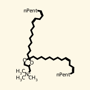 CCCCC/C=C\C/C=C\CCCCCCCCC1(CCCCCCCC/C=C\C/C=C\CCCCC)OCC(C[N+](C)(C)C)O1